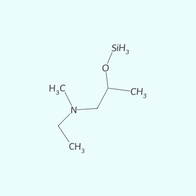 CCN(C)CC(C)O[SiH3]